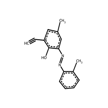 C#Cc1cc(C)cc(N=Nc2ccccc2C)c1O